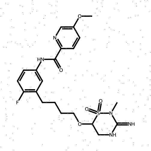 COc1ccc(C(=O)Nc2ccc(F)c(CCCCOC3CNC(=N)N(C)S3(=O)=O)c2)nc1